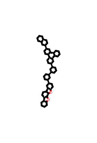 c1cc(-c2cccc(-c3ccc4c5ccc(-c6ccc7ccccc7c6)cc5c5ccccc5c4c3)c2)cc(-c2ccc3oc4c(ccc5c6ccccc6oc54)c3c2)c1